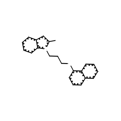 O=C(O)c1cc2ccccc2n1CCCOc1cccc2ccccc12